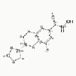 O=C(NO)c1cc(F)c2c(c1)CCN([C@@H]1CCOC1)C2